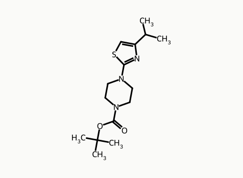 CC(C)c1csc(N2CCN(C(=O)OC(C)(C)C)CC2)n1